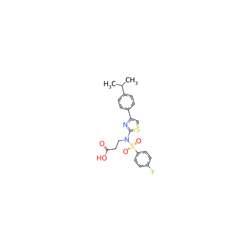 CC(C)c1ccc(-c2csc(N(CCC(=O)O)S(=O)(=O)c3ccc(F)cc3)n2)cc1